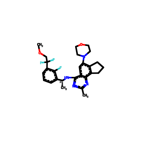 COCC(F)(F)c1cccc([C@@H](C)Nc2nc(C)nc3c4c(c(N5CCOCC5)cc23)CCC4)c1F